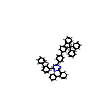 C1=CC(c2ccccc2)=C(c2nc(-c3ccc(-c4ccc5c(c4)C(c4ccccc4)(c4ccccc4)c4ccccc4-5)cc3)nc(-c3cccc4c3sc3ccccc34)n2)CC1